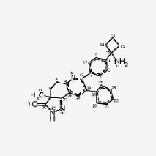 CC12CCc3nc(-c4ccc(C5(N)CCC5)cc4)c(-c4ccccc4)cc3C1=NNC2=O